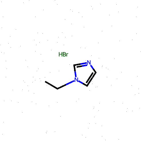 Br.CCn1ccnc1